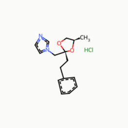 C[C@@H]1CO[C@@](CCc2ccccc2)(Cn2ccnc2)O1.Cl